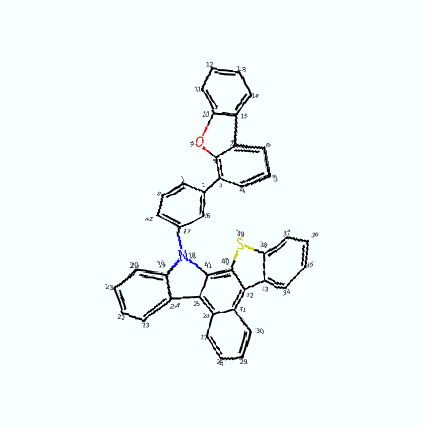 c1cc(-c2cccc3c2oc2ccccc23)cc(-n2c3ccccc3c3c4ccccc4c4c5ccccc5sc4c32)c1